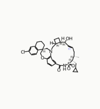 C[C@H]1C/C=C/[C@H](O)[C@@H]2CC[C@H]2CN2C[C@@]3(CCCc4cc(Cl)ccc43)COc3ccc(cc32)C(=O)NS(=O)(=O)[C@H]1CC1CC1